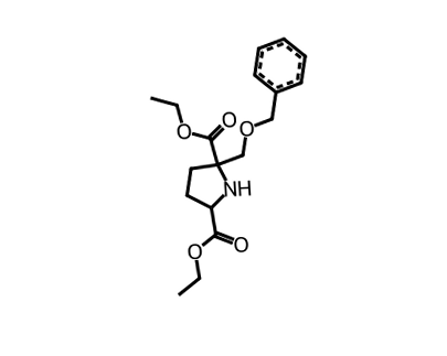 CCOC(=O)C1CCC(COCc2ccccc2)(C(=O)OCC)N1